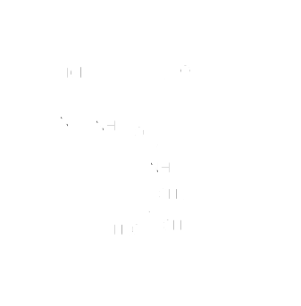 CC(C)(C)c1ccc(Cc2ncc[nH]2)cc1NC(=O)CC1c2ccccc2Oc2ccccc21.Cl